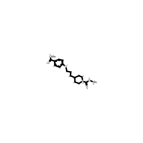 COC(=O)c1ccc(OCCCC2CCN(C(=O)OC(C)(C)C)CC2)cc1